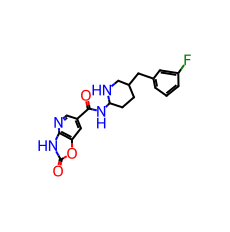 O=C(NC1CCC(Cc2cccc(F)c2)CN1)c1cnc2[nH]c(=O)oc2c1